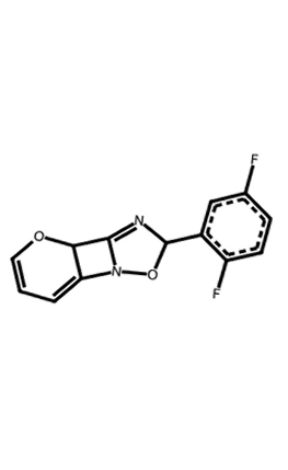 Fc1ccc(F)c(C2N=C3C4OC=CC=C4N3O2)c1